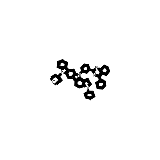 c1ccc(-c2nc(-c3cccc(-n4c5cc6c7ccccc7n(-c7ccccc7)c6cc5c5ccc6c(ccn6-c6ccccc6)c54)c3)nc3ccccc23)cc1